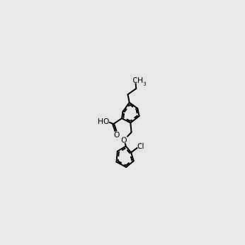 CCCc1ccc(COc2ccccc2Cl)c(C(=O)O)c1